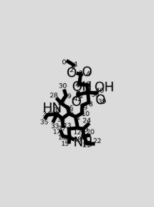 CCOC(=O)CCC(CCCC(C1CC(C)(CC)NC(C)(CC)C1C)C1CC(C)(CC)NC(C)(CC)C1C)(C(=O)O)C(=O)O